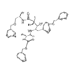 CC(C)[C@H](COCc1cccnc1)NC(=O)C(F)(F)C(O)C(Cc1ccc(OCc2ccccc2)cc1)NC(=O)[C@@H](NC(=O)OCc1ccccc1)C(C)C